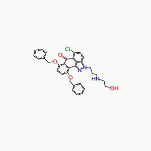 O=C1c2c(OCc3ccccc3)ccc(OCc3ccccc3)c2-c2nn(CCCNCCO)c3ccc(Cl)c1c23